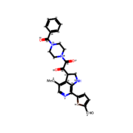 COc1cnc(-c2ccc(C=O)s2)c2c1C(C(=O)C(=O)N1CCN(C(=O)c3ccccc3)CC1)CN2